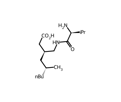 CCCC[C@@H](C)C[C@H](CNC(=O)[C@@H](N)C(C)C)CC(=O)O